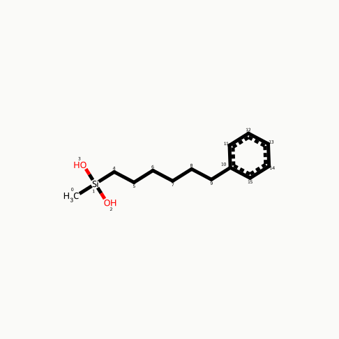 C[Si](O)(O)CCCCCCc1ccccc1